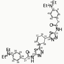 CCN(CC)c1ccc(CC(=O)Nc2nnc(C3CC=C[C@H](c4nnc(NC(=O)Cc5ccc(N(CC)CC)cc5)s4)C3)s2)cc1